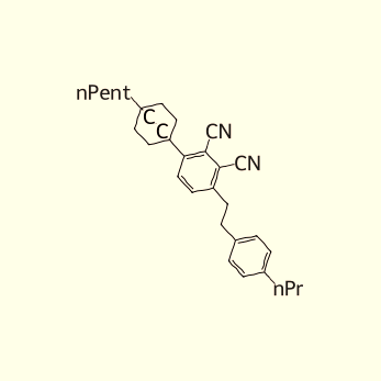 CCCCCC12CCC(c3ccc(CCc4ccc(CCC)cc4)c(C#N)c3C#N)(CC1)CC2